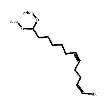 CCCC/C=C\CC/C=C\CCCCCC(OCCCCCCCCC)OCCCCCCCCC